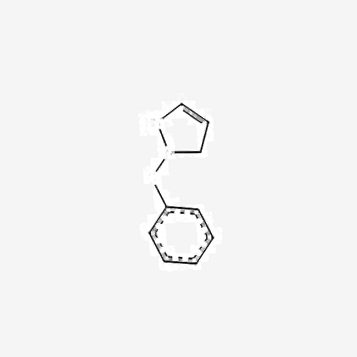 C1=CNN(Oc2ccccc2)C1